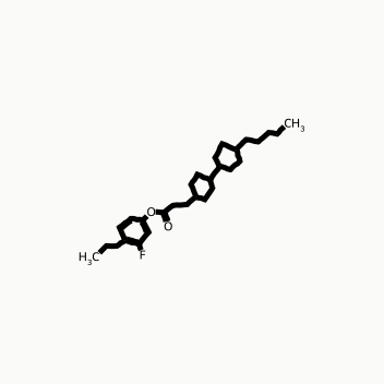 CCCCCC1CCC(C2CCC(CCC(=O)Oc3ccc(CCC)c(F)c3)CC2)CC1